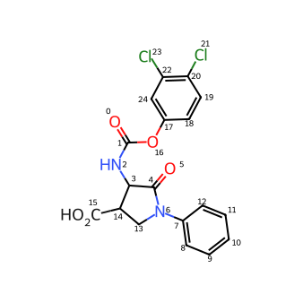 O=C(NC1C(=O)N(c2ccccc2)CC1C(=O)O)Oc1ccc(Cl)c(Cl)c1